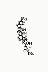 CC(C)(C)OC(=O)NCC(O)Cn1ncc2c(NC(=O)N[C@@H]3CCc4cc(C(C)(C)C)ccc43)cccc21